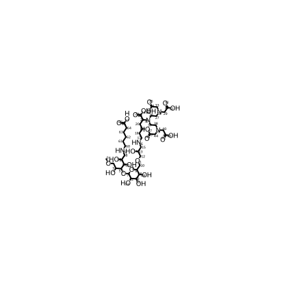 COCC(O)C(OC1OC(COCC(O)CNCCCCC(C(=O)O)N(CCN(CC(=O)O)CC(=O)O)CCN(CC(=O)O)CC(=O)O)C(O)C(O)C1O)C(O)C(O)CNCCCCCC(=O)O